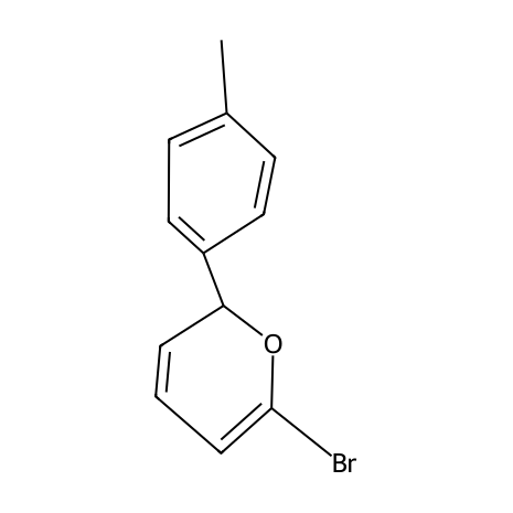 Cc1ccc(C2C=CC=C(Br)O2)cc1